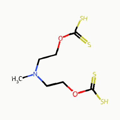 CN(CCOC(=S)S)CCOC(=S)S